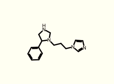 c1ccc(C2CNCN2CCCn2ccnc2)cc1